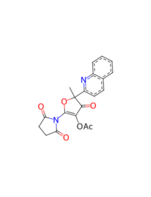 CC(=O)OC1=C(N2C(=O)CCC2=O)OC(C)(c2ccc3ccccc3n2)C1=O